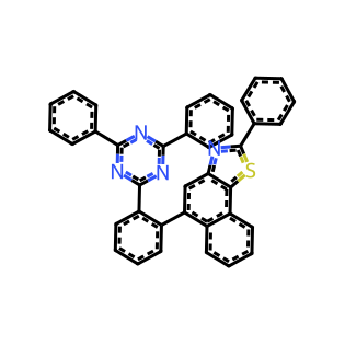 c1ccc(-c2nc(-c3ccccc3)nc(-c3ccccc3-c3cc4nc(-c5ccccc5)sc4c4ccccc34)n2)cc1